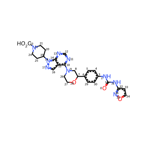 O=C(Nc1ccc(C2CN(c3ncnc4c3cnn4C3CCN(C(=O)O)CC3)CCO2)cc1)Nc1ccon1